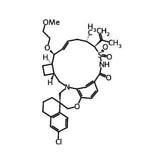 C=C(C)[C@@H]1[C@@H](C)C/C=C/[C@H](OCCOC)[C@@H]2CC[C@H]2CN2C[C@@]3(CCCc4cc(Cl)ccc43)COc3ccc(cc32)C(=O)NS1(=O)=O